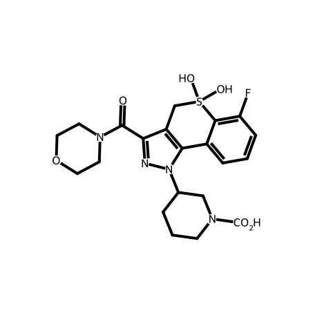 O=C(O)N1CCCC(n2nc(C(=O)N3CCOCC3)c3c2-c2cccc(F)c2S(O)(O)C3)C1